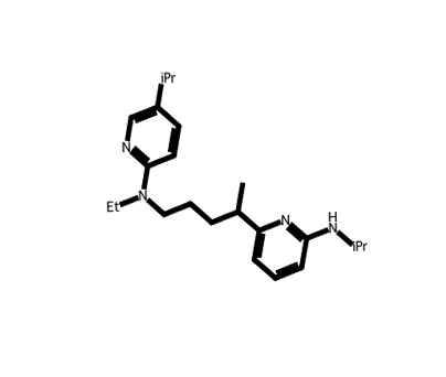 CCN(CCCC(C)c1cccc(NC(C)C)n1)c1ccc(C(C)C)cn1